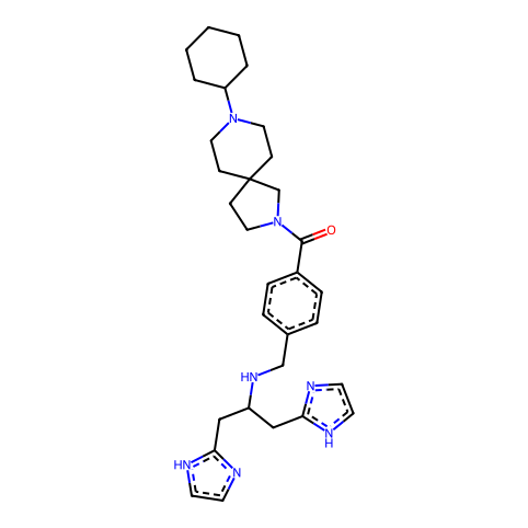 O=C(c1ccc(CNC(Cc2ncc[nH]2)Cc2ncc[nH]2)cc1)N1CCC2(CCN(C3CCCCC3)CC2)C1